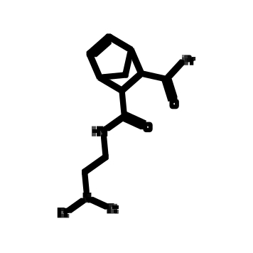 CCN(CC)CCNC(=O)C1C2C=CC(C2)C1C(=O)C(C)C